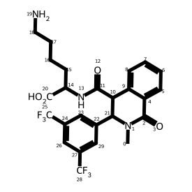 CN1C(=O)c2ccccc2C(C(=O)NC(CCCCN)C(=O)O)C1c1cc(C(F)(F)F)cc(C(F)(F)F)c1